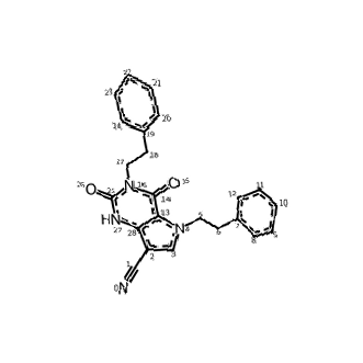 N#Cc1cn(CCc2ccccc2)c2c(=O)n(CCc3ccccc3)c(=O)[nH]c12